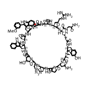 CCCC[C@H]1C(=O)N(C)[C@@H](CCCC)C(=O)N[C@@H](CCCNC(=N)N)C(=O)N[C@H](C(=O)NCC(N)=O)CSCC(=O)N[C@@H](Cc2ccc(O)cc2)C(=O)N(C)[C@@H](C)C(=O)NC(CC(N)=O)C(=O)N2CCC[C@H]2C(=O)N[C@@H](CN)C(=O)N[C@@H](CC(C)C)C(=O)N2C[C@H](O)C[C@H]2C(=O)N[C@@H](Cc2c[nH]c3ccccc23)C(=O)N[C@@H](CO)C(=O)N[C@@H](Cc2c(-c3cccc(OC)c3)[nH]c3ccccc23)C(=O)N1C